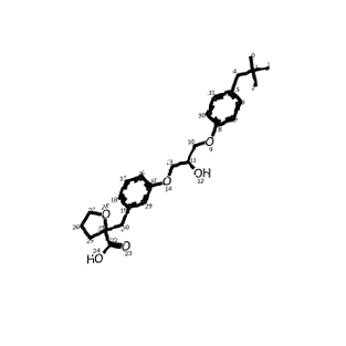 CC(C)(C)Cc1ccc(OCC(O)COc2cccc(CC3(C(=O)O)CCCO3)c2)cc1